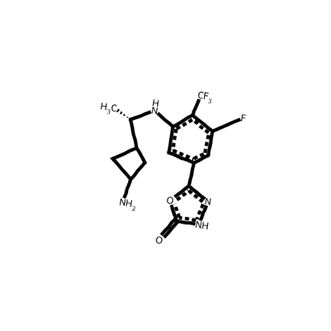 C[C@H](Nc1cc(-c2n[nH]c(=O)o2)cc(F)c1C(F)(F)F)C1CC(N)C1